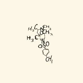 Cc1ccc(S(=O)(=O)N2CCO[C@@](C)(CC(C)N(C)C)C2)cc1